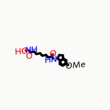 COc1ccc2c(c1)CCC2NC(=O)CCCCCCC(=O)NO